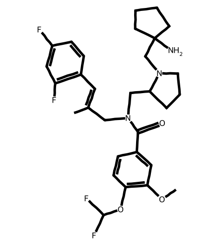 COc1cc(C(=O)N(CC(C)=Cc2ccc(F)cc2F)CC2CCCN2CC2(N)CCCC2)ccc1OC(F)F